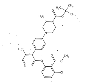 COC(=O)c1c(Cl)cccc1Oc1cncc(C)c1-c1ccc(N2CCN(C(=O)OC(C)(C)C)[C@@H](C)C2)cc1